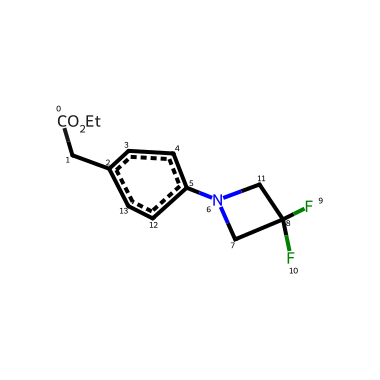 CCOC(=O)Cc1ccc(N2CC(F)(F)C2)cc1